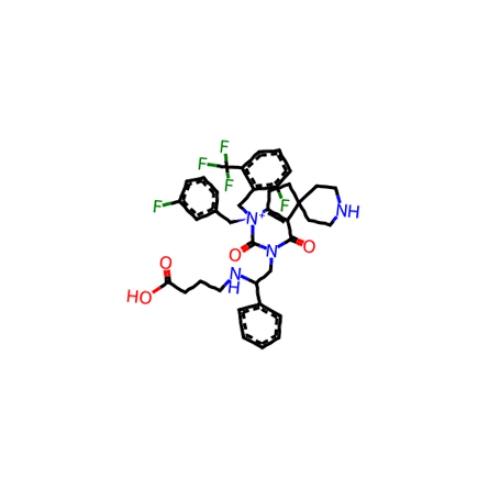 O=C(O)CCCNC(CN1C(=O)C2=C(CCC23CCNCC3)[N@@+](Cc2cccc(F)c2)(Cc2c(F)cccc2C(F)(F)F)C1=O)c1ccccc1